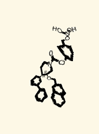 O=C(Oc1cccc(CON(O)O)c1)N1CC[C@H](c2cccc(-c3ccccc3)c2)[C@@H](OCc2ccc3ccccc3c2)C1